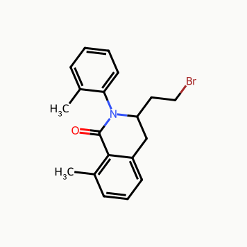 Cc1ccccc1N1C(=O)c2c(C)cccc2CC1CCBr